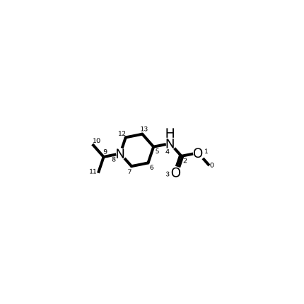 COC(=O)NC1CCN(C(C)C)CC1